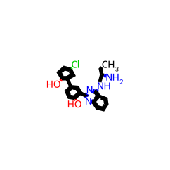 CCC(N)CNc1nc(-c2cc(-c3cc(Cl)ccc3O)ccc2O)nc2ccccc12